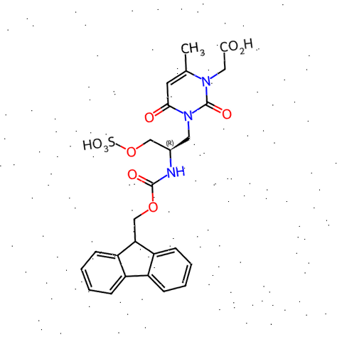 Cc1cc(=O)n(C[C@H](COS(=O)(=O)O)NC(=O)OCC2c3ccccc3-c3ccccc32)c(=O)n1CC(=O)O